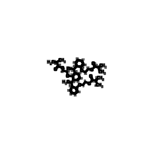 C=C(C)C(=O)OCCOc1ccccc1C(C)c1cccc(C(CC)c2ccccc2OCCOC(=O)C(=C)C)c1OCCOC(=O)C(=C)C